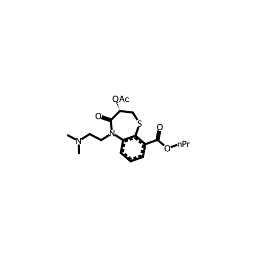 CCCOC(=O)c1cccc2c1SC[C@@H](OC(C)=O)C(=O)N2CCN(C)C